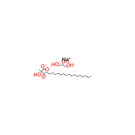 CCCCCCCCCCCCCCCCCC(=O)C(C)(O)C(=O)[O-].OCC(O)CO.[Na+]